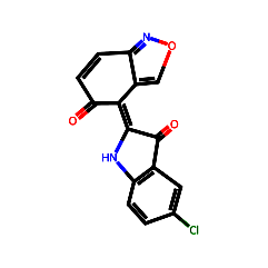 O=C1C=Cc2nocc2C1=C1Nc2ccc(Cl)cc2C1=O